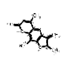 C=C1c2cc3c(C)cc(=O)oc3c(C)c2OC1C